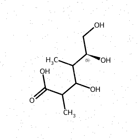 CC(C(=O)O)C(O)C(C)[C@H](O)CO